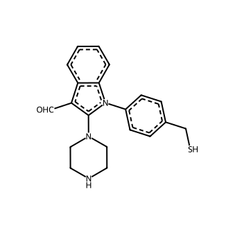 O=Cc1c(N2CCNCC2)n(-c2ccc(CS)cc2)c2ccccc12